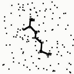 CCCOCCOC(C)C(C)(C)C